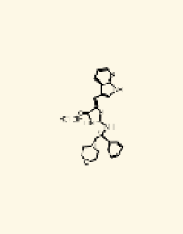 Cl.Cl.O=C1NC(N[C@H](CN2CCOCC2)c2ccccc2)=NC1=Cc1c[nH]c2ncccc12